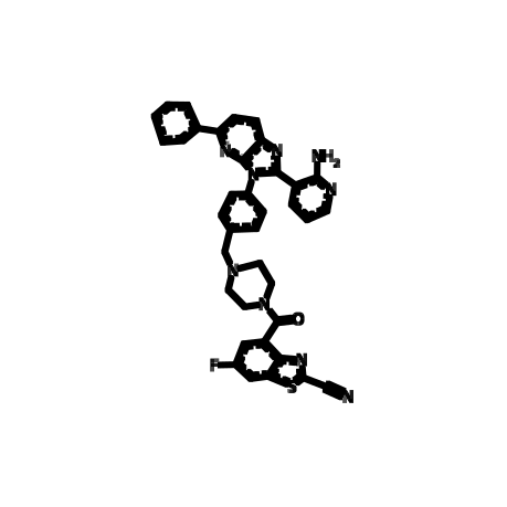 N#Cc1nc2c(C(=O)N3CCN(Cc4ccc(-n5c(-c6cccnc6N)nc6ccc(-c7ccccc7)nc65)cc4)CC3)cc(F)cc2s1